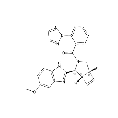 COc1ccc2[nH]c([C@@H]3[C@H]4C=C[C@H]4CN3C(=O)c3ccccc3-n3nccn3)nc2c1